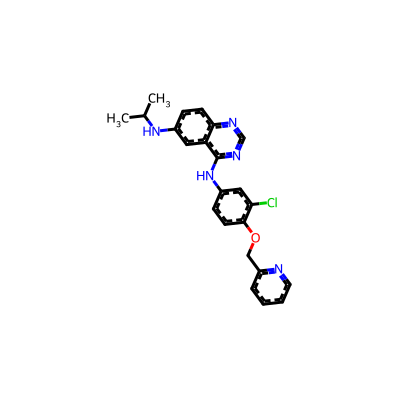 CC(C)Nc1ccc2ncnc(Nc3ccc(OCc4ccccn4)c(Cl)c3)c2c1